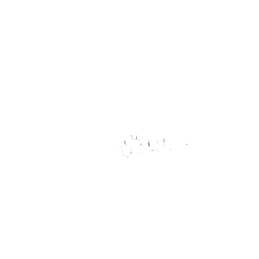 COc1cc(C=C2C[C@H]3[C@@H]4CC=C5CC(O)CC[C@]5(C)[C@@H]4CC[C@]3(C)C2=O)ccc1OCCCCl